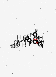 CN1CC2CN(C(=O)Nc3cc(F)cc(F)c3)CC(C1)C2(O)c1ccc(-c2cc(F)c(C(=O)NCCNC(=O)OC(C)(C)C)cc2F)cc1